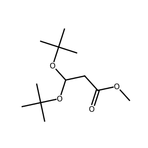 COC(=O)CC(OC(C)(C)C)OC(C)(C)C